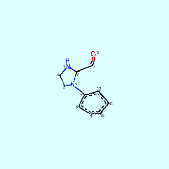 O=CC1NCCN1c1ccccc1